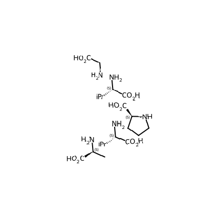 CC(C)[C@H](N)C(=O)O.CC(C)[C@H](N)C(=O)O.C[C@H](N)C(=O)O.NCC(=O)O.O=C(O)[C@@H]1CCCN1